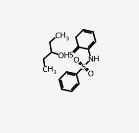 CCC(O)CC.O=S(=O)(NC1=CC=CCC1=S)c1ccccc1